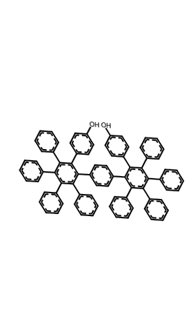 Oc1ccc(-c2c(-c3ccccc3)c(-c3ccccc3)c(-c3ccccc3)c(-c3ccccc3)c2-c2ccc(-c3c(-c4ccccc4)c(-c4ccccc4)c(-c4ccccc4)c(-c4ccccc4)c3-c3ccc(O)cc3)cc2)cc1